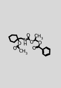 CC(=O)OC1(CNC(=O)OC(C)OC(=O)c2ccccc2)CCCCC1